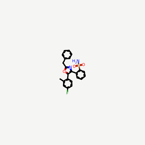 Cc1cc(F)ccc1-c1oc(Cc2ccccc2)nc1-c1ccccc1S(N)(=O)=O